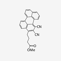 COC(=O)CCCc1c(C#N)c(C#N)c2c3cccc4cccc(c5cccc1c52)c43